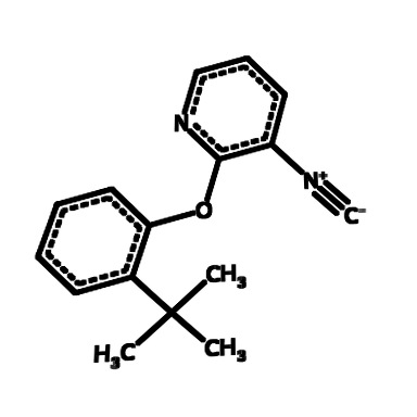 [C-]#[N+]c1cccnc1Oc1ccccc1C(C)(C)C